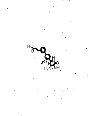 CCOc1cc(-c2cccc(CCC(=O)O)c2)ccc1-c1nc(N)c(N)c(=O)[nH]1